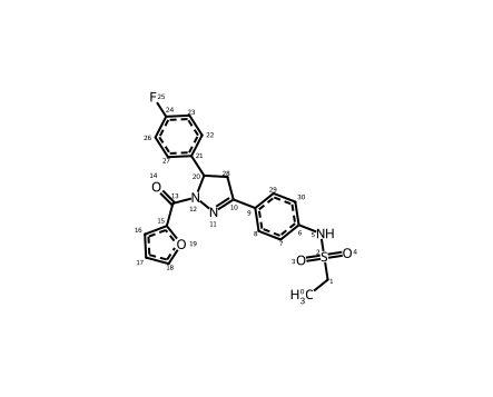 CCS(=O)(=O)Nc1ccc(C2=NN(C(=O)c3ccco3)C(c3ccc(F)cc3)C2)cc1